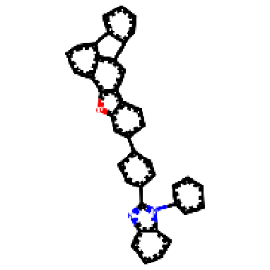 c1ccc(-n2c(-c3ccc(-c4ccc5c(c4)oc4c6cccc7c6c(cc54)-c4ccccc4-7)cc3)nc3ccccc32)cc1